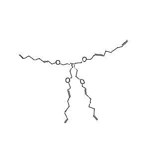 C=CCCCC=CCOC[CH2][Ti]([CH2]COCC=CCCCC=C)([CH2]COCC=CCCCC=C)[CH2]COCC=CCCCC=C